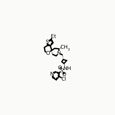 CCc1cc2c(s1)CCO[C@@]21CCN(C[C@H]2C[C@@H](NS(=O)(=O)c3cnccc3Cl)C2)[C@@H](C)C1